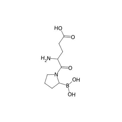 NC(CCC(=O)O)C(=O)N1CCCC1B(O)O